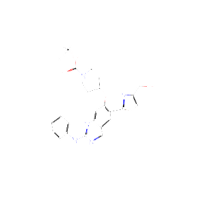 CC(C)(C)OC(=O)N1CCC(Oc2cc3nc(Nc4ccccc4)ncc3cc2-c2nc(CO)cs2)CC1